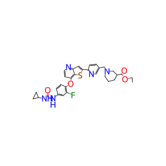 CCOC(=O)C1CCCN(Cc2ccc(-c3cc4nccc(Oc5ccc(NC(=O)NC6CC6)cc5F)c4s3)nc2)C1